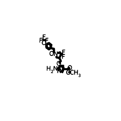 COC(=O)c1cnc(N)c(OCC2CN(C(=O)Cc3ccc(OC(F)(F)F)cc3)CC2(F)F)c1